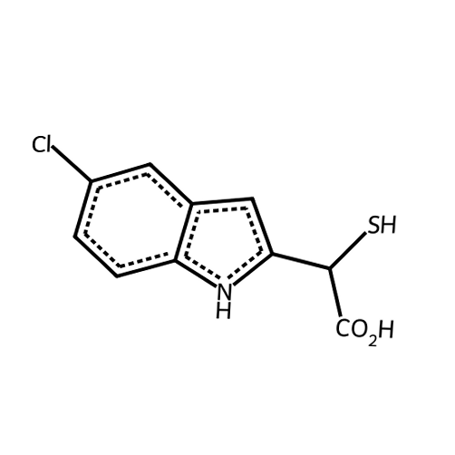 O=C(O)C(S)c1cc2cc(Cl)ccc2[nH]1